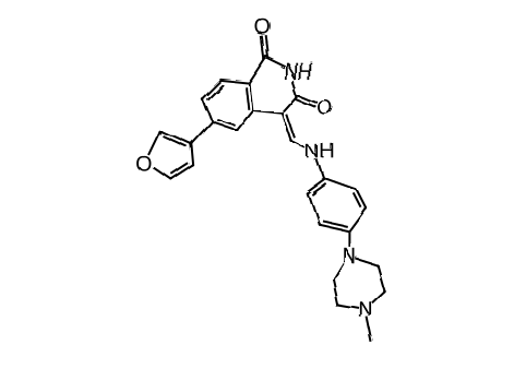 CN1CCN(c2ccc(NC=C3C(=O)NC(=O)c4ccc(-c5ccoc5)cc43)cc2)CC1